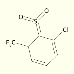 O=S(=O)=C1C(Cl)=CC=CC1C(F)(F)F